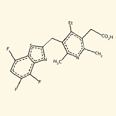 CCc1c(CC(=O)O)c(C)nc(C)c1Cc1nc2c(F)c(F)cc(F)c2s1